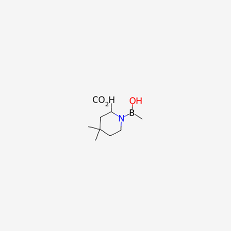 CB(O)N1CCC(C)(C)CC1C(=O)O